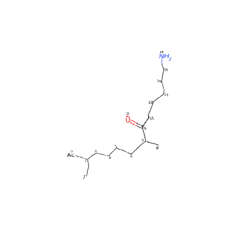 CC(=O)C(C)CCCCC(C)C(=O)CCCCCN